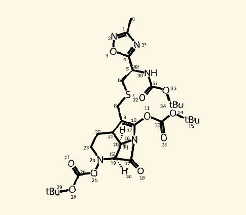 Cc1noc([C@H](CSCC2=C(OC(=O)OC(C)(C)C)N3C(=O)[C@@H]4[C@H]3C2CCN4OC(=O)OC(C)(C)C)NC(=O)OC(C)(C)C)n1